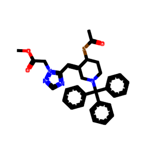 COC(=O)Cn1ncnc1/C=C1\CN(C(c2ccccc2)(c2ccccc2)c2ccccc2)CCC1SC(C)=O